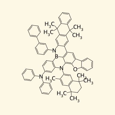 Cc1cc2c(cc1N1c3cc(N(c4ccccc4)c4ccccc4)ccc3B3c4c(cc5c(oc6ccccc65)c41)-c1cc4c(cc1N3c1cccc(-c3ccccc3)c1)C(C)(C)c1ccccc1C4(C)C)C(C)(C)CCC2(C)C